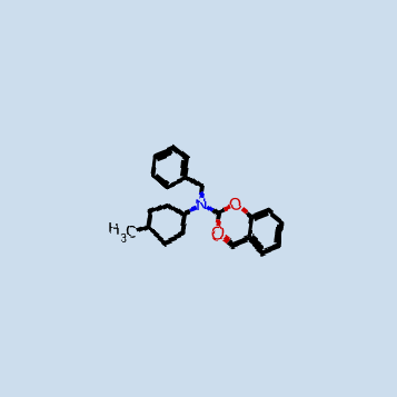 CC1CCC(N(Cc2ccccc2)C2OCc3ccccc3O2)CC1